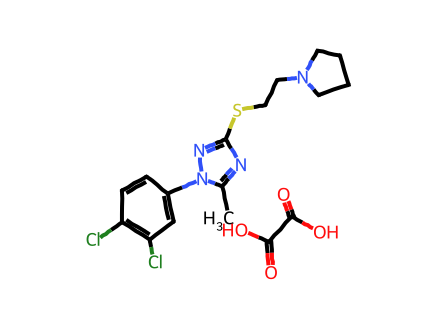 Cc1nc(SCCN2CCCC2)nn1-c1ccc(Cl)c(Cl)c1.O=C(O)C(=O)O